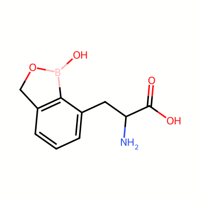 NC(Cc1cccc2c1B(O)OC2)C(=O)O